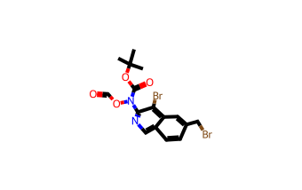 CC(C)(C)OC(=O)N(OC=O)c1ncc2ccc(CBr)cc2c1Br